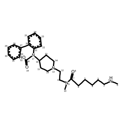 CNCCCCCC(=O)N(C)CCN1CCC(N(C(=O)O)c2ccccc2-c2ccccc2)CC1